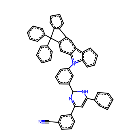 N#Cc1cccc(C2=NC(c3cccc(-n4c5ccccc5c5cc6c(cc54)C(c4ccccc4)(c4ccccc4)c4ccccc4-6)c3)NC(c3ccccc3)=C2)c1